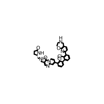 O=C1CC[C@@H](CNCc2cnc3cc(-c4cccc(-c5cccc(-c6ccc7c(n6)OCCNC7)c5Cl)c4Cl)ccn3c2=O)N1